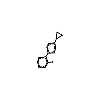 Fc1ccccc1-c1c[c]c(C2CC2)cc1